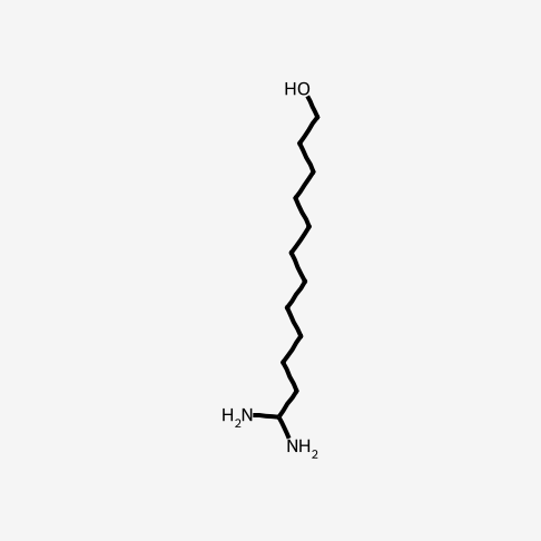 NC(N)CCCCCCCCCCCO